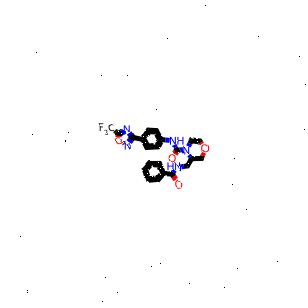 O=C(NCC1COCCN1C(=O)Nc1ccc(-c2noc(C(F)(F)F)n2)cc1)c1ccccc1